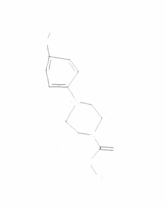 COC(=O)N1[C@H](C)CN(c2ccc(SC)cc2)C[C@@H]1C